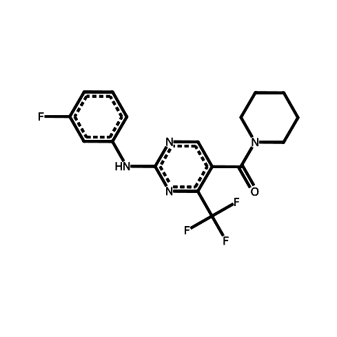 O=C(c1cnc(Nc2cccc(F)c2)nc1C(F)(F)F)N1CCCCC1